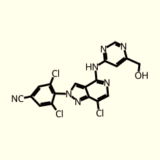 N#Cc1cc(Cl)c(-n2cc3c(Nc4cc(CO)ncn4)ncc(Cl)c3n2)c(Cl)c1